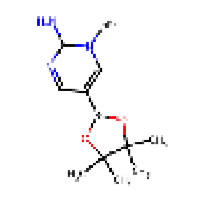 CCCN1C=C(B2OC(C)(C)C(C)(C)O2)C=NC1N